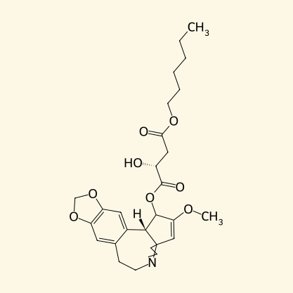 CCCCCCOC(=O)C[C@@H](O)C(=O)OC1C(OC)=CC23CCCN2CCc2cc4c(cc2[C@H]13)OCO4